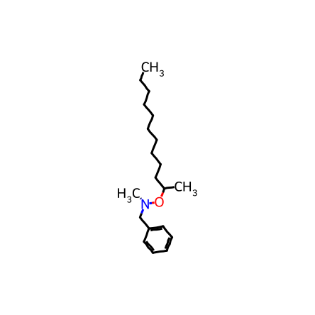 CCCCCCCCCCC(C)ON(C)Cc1ccccc1